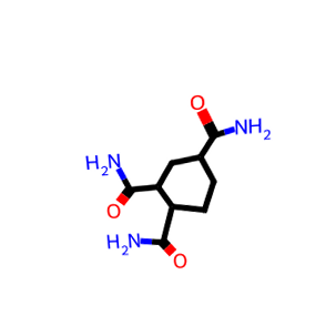 NC(=O)C1CCC(C(N)=O)C(C(N)=O)C1